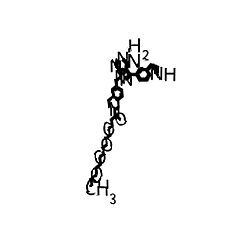 CCOCCOCCOCCOCCC(=O)N1CCc2cc(Cn3nc(-c4ccc5[nH]ccc5c4)c4c(N)ncnc43)ccc2C1